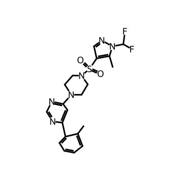 Cc1ccccc1-c1cc(N2CCN(S(=O)(=O)c3cnn(C(F)F)c3C)CC2)ncn1